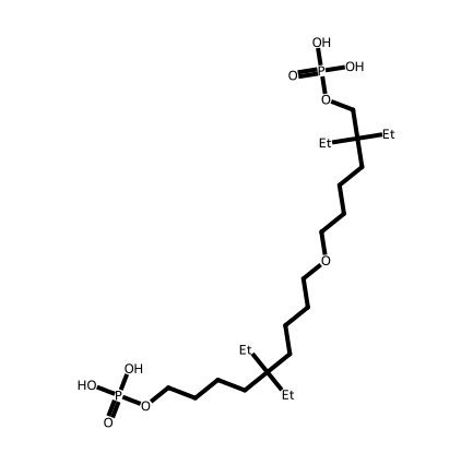 CCC(CC)(CCCCOCCCCC(CC)(CC)COP(=O)(O)O)CCCCOP(=O)(O)O